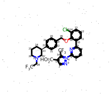 O=C(O)c1cnn(-c2cccc(-c3cccc(Cl)c3OCc3ccc([C@@H]4CCCN(CC(F)(F)F)C4)cc3)n2)c1C(F)(F)F